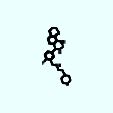 Fc1ccc(C2NSNc3c2ccc2c3=NCCC=2)cc1CNCCN1CCOCC1